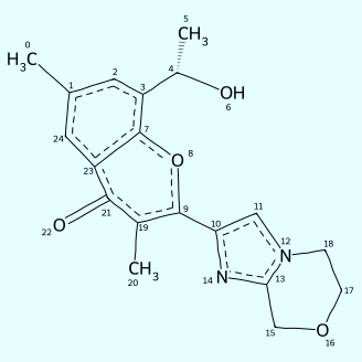 Cc1cc([C@H](C)O)c2oc(-c3cn4c(n3)COCC4)c(C)c(=O)c2c1